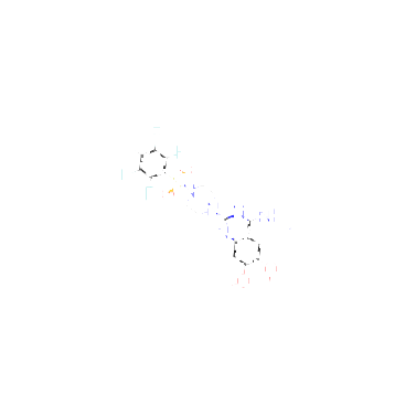 COc1cc2nc(N3CCN(S(=O)(=O)c4c(F)c(F)c(F)c(F)c4F)CC3)nc(N)c2cc1OC